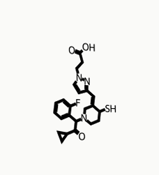 O=C(O)CCn1ccc(/C=C2\CN(C(C(=O)C3CC3)c3ccccc3F)CCC2S)n1